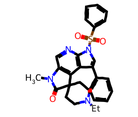 CCN1CCC2(CC1)C(=O)N(C)c1cnc3c(c(-c4ccccc4)cn3S(=O)(=O)c3ccccc3)c12